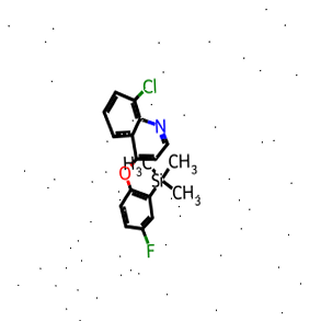 C[Si](C)(C)c1cc(F)ccc1Oc1ccnc2c(Cl)cccc12